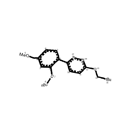 CCCCOc1cc(OC)ccc1-c1ccc(OCC(C)(C)C)nn1